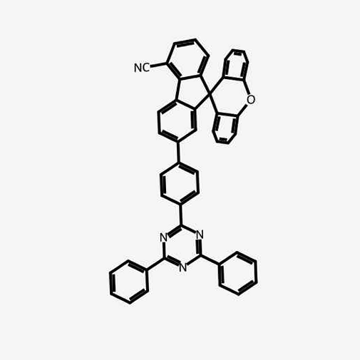 N#Cc1cccc2c1-c1ccc(-c3ccc(-c4nc(-c5ccccc5)nc(-c5ccccc5)n4)cc3)cc1C21c2ccccc2Oc2ccccc21